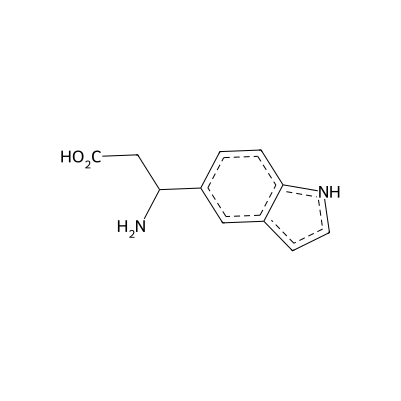 NC(CC(=O)O)c1ccc2[nH]ccc2c1